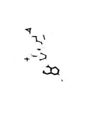 CCC[C@H](NC(=O)[C@@H]1C[C@@H](Oc2nccc3cc(OCC)ccc23)CN1C(=O)OC(C)(C)C)C(O)C(=O)NC1CC1